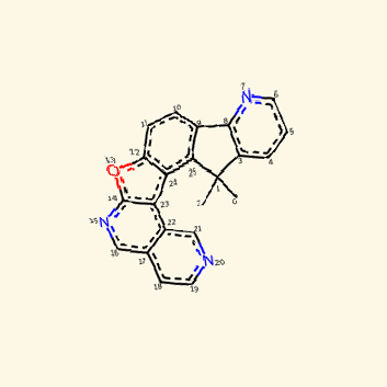 CC1(C)c2cccnc2-c2ccc3oc4ncc5ccncc5c4c3c21